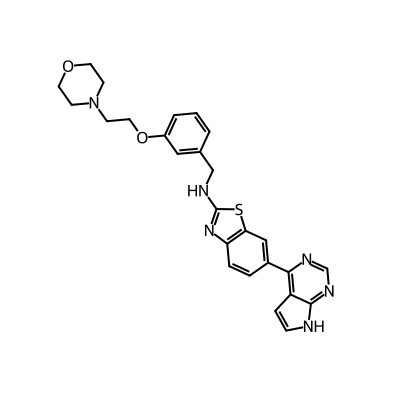 c1cc(CNc2nc3ccc(-c4ncnc5[nH]ccc45)cc3s2)cc(OCCN2CCOCC2)c1